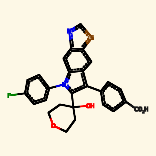 O=C(O)c1ccc(-c2c(C3(O)CCOCC3)n(-c3ccc(F)cc3)c3cc4ncsc4cc23)cc1